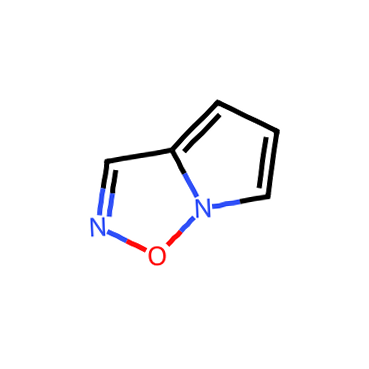 c1cc2cnon2c1